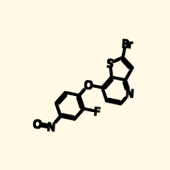 O=Nc1ccc(Oc2ccnc3cc(Br)sc23)c(F)c1